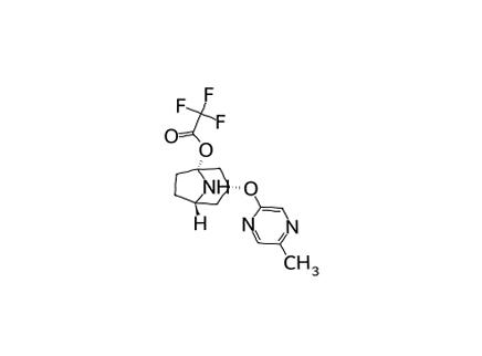 Cc1cnc(O[C@@H]2C[C@@H]3CC[C@@](OC(=O)C(F)(F)F)(C2)N3)cn1